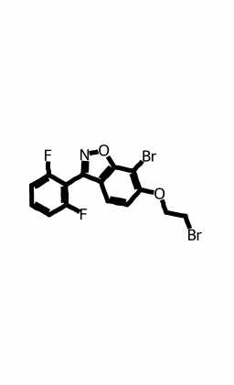 Fc1cccc(F)c1-c1noc2c(Br)c(OCCBr)ccc12